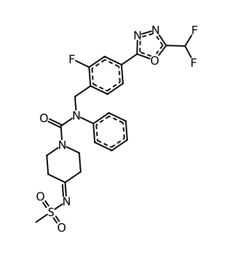 CS(=O)(=O)N=C1CCN(C(=O)N(Cc2ccc(-c3nnc(C(F)F)o3)cc2F)c2ccccc2)CC1